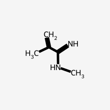 C=C(C)C(=N)NC